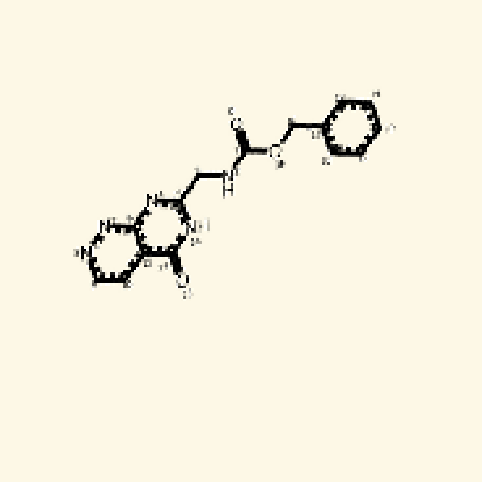 O=C(NCc1nc2nnccc2c(=O)[nH]1)OCc1ccccc1